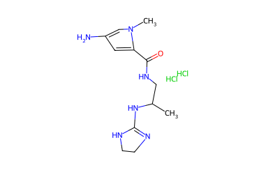 CC(CNC(=O)c1cc(N)cn1C)NC1=NCCN1.Cl.Cl